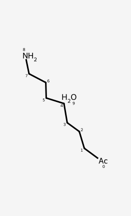 CC(=O)CCCCCCCN.O